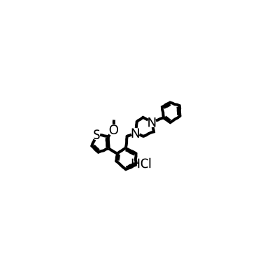 COc1sccc1-c1ccccc1CN1CCN(c2ccccc2)CC1.Cl